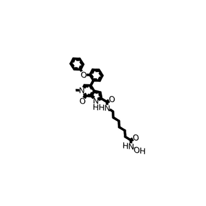 Cn1cc(-c2ccccc2Oc2ccccc2)c2cc(C(=O)NCCCCCCC(=O)NO)[nH]c2c1=O